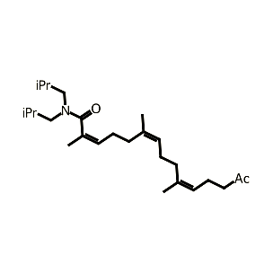 CC(=O)CCC=C(C)CCC=C(C)CCC=C(C)C(=O)N(CC(C)C)CC(C)C